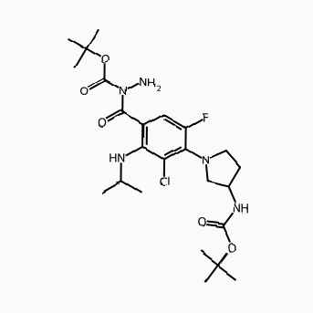 CC(C)Nc1c(C(=O)N(N)C(=O)OC(C)(C)C)cc(F)c(N2CCC(NC(=O)OC(C)(C)C)C2)c1Cl